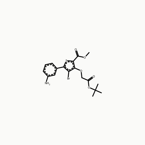 COC(=O)c1sc(-c2cccc(N)c2)c(Br)c1OCC(=O)OC(C)(C)C